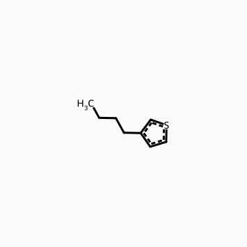 CCCCc1ccsc1